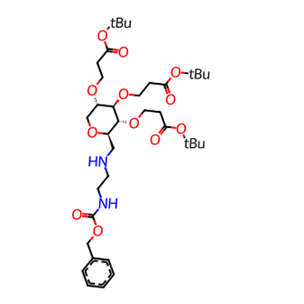 CC(C)(C)OC(=O)CCO[C@H]1[C@H](OCCC(=O)OC(C)(C)C)[C@@H](CNCCNC(=O)OCc2ccccc2)OC[C@@H]1OCCC(=O)OC(C)(C)C